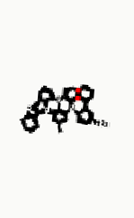 Cc1cc2c3c(c1)-n1c4c(cccc4c4sc5ccccc5c41)B3c1ccc(C(C)(C)C)cc1N2c1ccc(C(C)(C)C)cc1-c1ccccc1